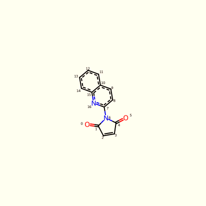 O=C1C=CC(=O)N1c1ccc2ccccc2n1